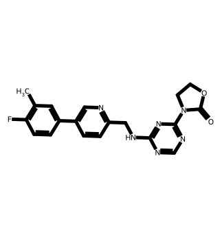 Cc1cc(-c2ccc(CNc3ncnc(N4CCOC4=O)n3)nc2)ccc1F